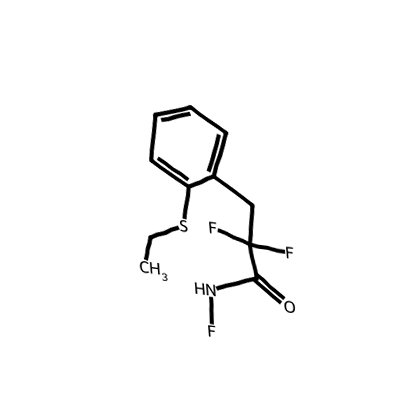 CCSc1ccccc1CC(F)(F)C(=O)NF